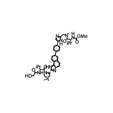 COC(=O)NC(C(=O)N(C)Cc1ncc(-c2ccc(-c3ccc4c(ccc5nc([C@@H]6C[Si](C)(C)CN6C(=O)C(NC(=O)CO)C(C)C)[nH]c54)c3)cc2)[nH]1)C(C)C